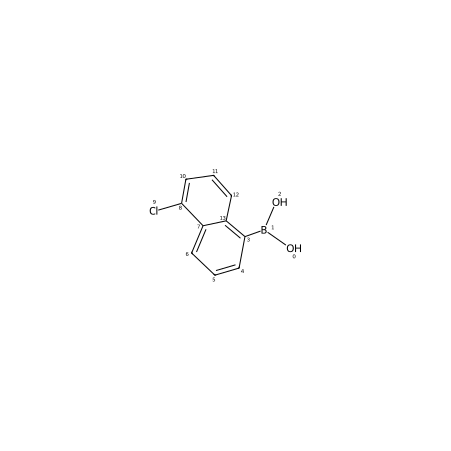 OB(O)c1cccc2c(Cl)cccc12